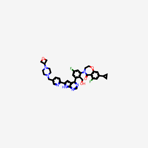 O=C1c2c(F)cc(C3CC3)cc2OCCN1c1cc(F)cc(-c2ncnc3[nH]c(-c4ccc(CN5CCN(C6COC6)CC5)cn4)cc23)c1CO